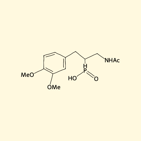 COc1ccc(CC(CNC(C)=O)[PH](=O)O)cc1OC